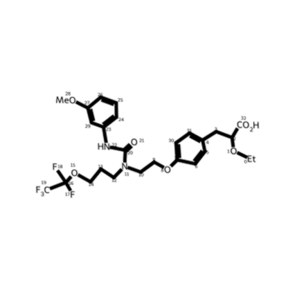 CCOC(Cc1ccc(OCCN(CCCOC(F)(F)C(F)(F)F)C(=O)Nc2cccc(OC)c2)cc1)C(=O)O